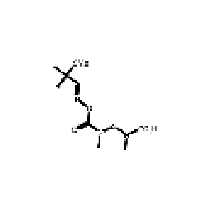 CSC(C)(C)C=NOC(=O)N(C)SN(C)C(=O)O